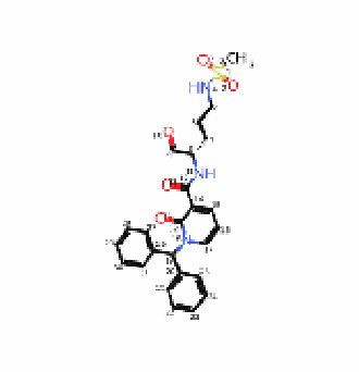 CS(=O)(=O)NCCC[C@@H](C=O)NC(=O)c1cccn(C(c2ccccc2)c2ccccc2)c1=O